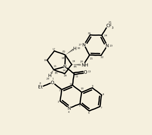 CCOc1cnc2ccccc2c1C(=O)N1[C@@H]2CC[C@H]1[C@H](Nc1cnc(C(F)(F)F)cn1)C2